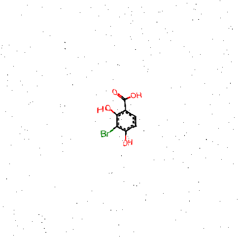 O=C(O)c1ccc(O)c(Br)c1O